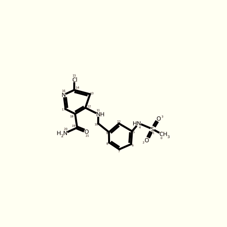 CS(=O)(=O)Nc1cccc(CNc2cc(Cl)ncc2C(N)=O)c1